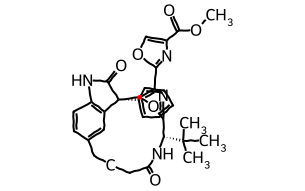 COC(=O)c1coc(-c2nc3oc2[C@]2(c4ccccc4)C(=O)Nc4ccc(cc42)CCCC(=O)N[C@H]3C(C)(C)C)n1